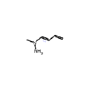 C=C/C=C/N(C)N